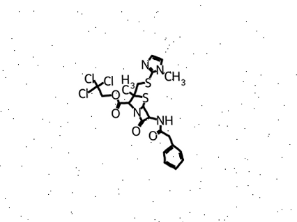 Cn1ccnc1SCC1(C)SC2C(NC(=O)Cc3ccccc3)C(=O)N2C1C(=O)OCC(Cl)(Cl)Cl